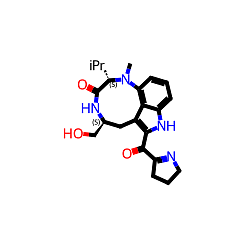 CC(C)[C@H]1C(=O)N[C@H](CO)Cc2c(C(=O)C3=NCCC3)[nH]c3cccc(c23)N1C